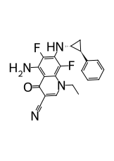 CCn1cc(C#N)c(=O)c2c(N)c(F)c(N[C@@H]3C[C@H]3c3ccccc3)c(F)c21